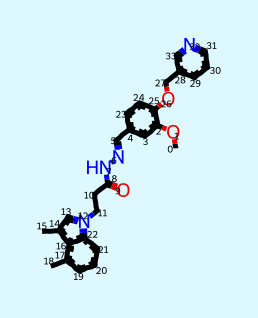 COc1cc(C=NNC(=O)CCn2cc(C)c3c(C)cccc32)ccc1OCc1cccnc1